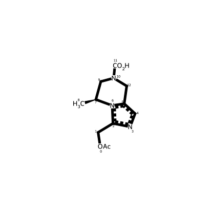 CC(=O)OCc1ncc2n1[C@@H](C)CN(C(=O)O)C2